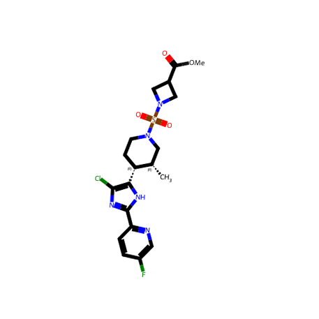 COC(=O)C1CN(S(=O)(=O)N2CC[C@@H](c3[nH]c(-c4ccc(F)cn4)nc3Cl)[C@@H](C)C2)C1